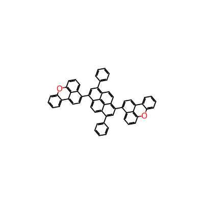 c1ccc(-c2cc(-c3ccc4c5c(cccc35)Oc3ccccc3-4)c3ccc4c(-c5ccccc5)cc(-c5ccc6c7c(cccc57)Oc5ccccc5-6)c5ccc2c3c45)cc1